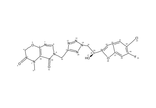 CN1C(=O)COc2ncn(Cc3nnn(C[C@H](O)c4cc5cc(Cl)c(F)cc5o4)n3)c(=O)c21